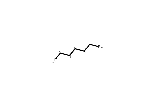 FCCC[CH]CI